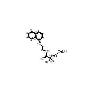 O=C(OCCOc1cccc2ccccc12)C(F)(F)SOOO